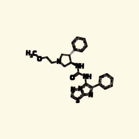 COCCN1C[C@H](NC(=O)Nc2c(-c3ccccc3)nc3scnn23)[C@@H](c2ccccc2)C1